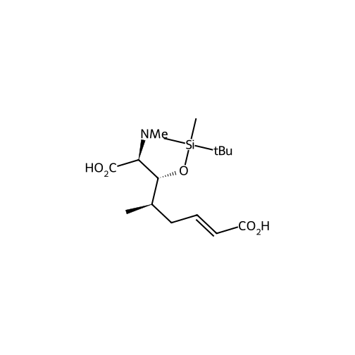 CN[C@H](C(=O)O)[C@H](O[Si](C)(C)C(C)(C)C)[C@H](C)C/C=C/C(=O)O